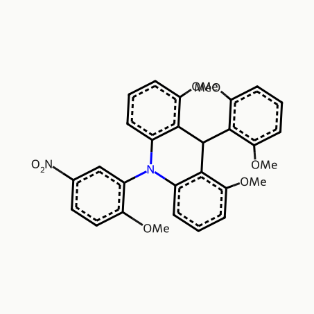 COc1ccc([N+](=O)[O-])cc1N1c2cccc(OC)c2C(c2c(OC)cccc2OC)c2c(OC)cccc21